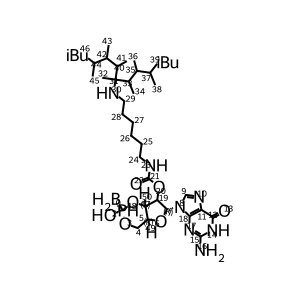 B[PH]1(O)OC[C@H]2O[C@@H](n3cnc4c(=O)[nH]c(N)nc43)C(OC(=O)NCCCCCCNC(C)(C(C)C(C)C(C)C(C)CC)C(C)C(C)C(C)C(C)CC)[C@H]2O1